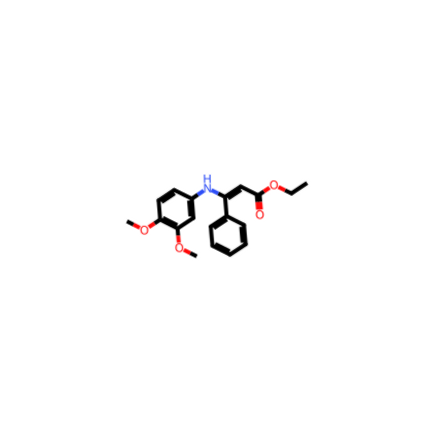 CCOC(=O)C=C(Nc1ccc(OC)c(OC)c1)c1ccccc1